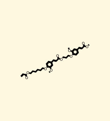 C=CC(=O)OCCCCCCOc1ccc(/C=C/C(=O)OCCCOc2ccc(/C=C/C(=O)OC)cc2OC)cc1OC